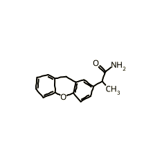 CC(C(N)=O)c1ccc2c(c1)Cc1ccccc1O2